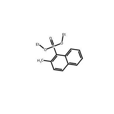 CCOP(=O)(OCC)c1c(C)ccc2ccccc12